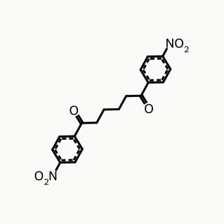 O=C(CCCCC(=O)c1ccc([N+](=O)[O-])cc1)c1ccc([N+](=O)[O-])cc1